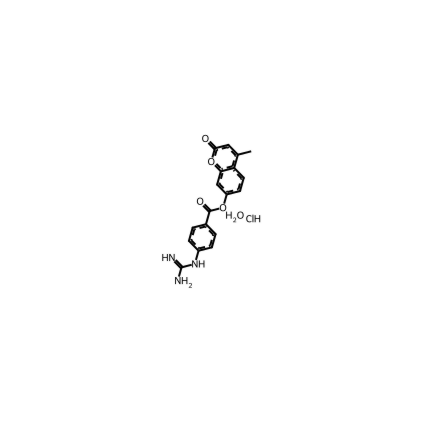 Cc1cc(=O)oc2cc(OC(=O)c3ccc(NC(=N)N)cc3)ccc12.Cl.O